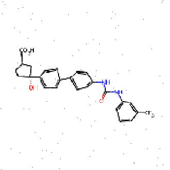 O=C(Nc1ccc(-c2ccc([C@@]3(O)CC[C@@H](C(=O)O)C3)cc2)cc1)Nc1cccc(C(F)(F)F)c1